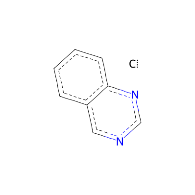 [C].c1ccc2ncncc2c1